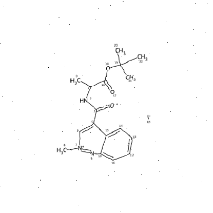 CC(NC(=O)c1c[n+](C)nc2ccccc12)C(=O)OC(C)(C)C.[I-]